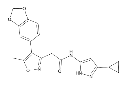 Cc1onc(CC(=O)Nc2cc(C3CC3)n[nH]2)c1-c1ccc2c(c1)OCO2